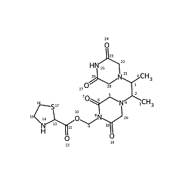 CC(C(C)N1CC(=O)N(COC(=O)C2NCCS2)C(=O)C1)N1CC(=O)NC(=O)C1